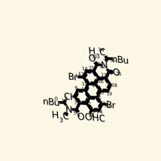 CCCCC(C)N(C)C(=O)c1ccc2c3c(Br)cc4c5c(ccc(c6c(Br)cc(C=O)c1c26)c53)C(=O)N(C(C)CCCC)C4=O